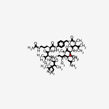 C=C(C)[C@@H](C(=O)N[C@H](C(=O)N(C)[C@@H]([C@@H](C)CC)[C@@H](CC(N)=O)OC)C(C)C)N(C)C(=O)OCc1ccc(NC(=O)[C@H](CCCNC(N)=O)NC(=O)[C@@H](NNC(=O)C(C)C(C)(CC)C(=C)C)C(C)C)cc1